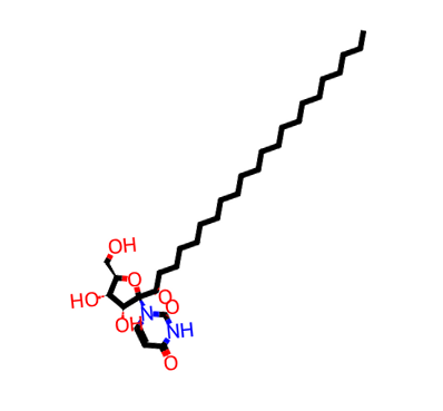 CCCCCCCCCCCCCCCCCCCCCC(=O)[C@@]1(n2ccc(=O)[nH]c2=O)O[C@H](CO)[C@@H](O)[C@H]1O